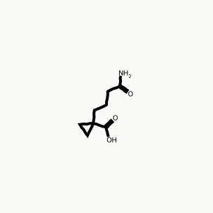 NC(=O)CCCC1(C(=O)O)CC1